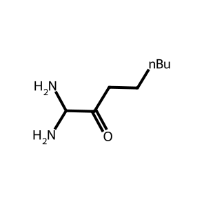 CCCCCCC(=O)C(N)N